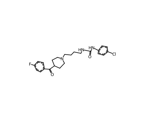 O=C(NCCCCN1CCC(C(=O)c2ccc(F)cc2)CC1)Nc1ccc(Cl)cc1